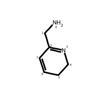 NCC1=NCCC=C1